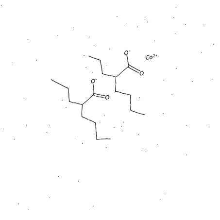 CCCCC(CCC)C(=O)[O-].CCCCC(CCC)C(=O)[O-].[Co+2]